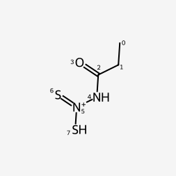 CCC(=O)N[N+](=S)S